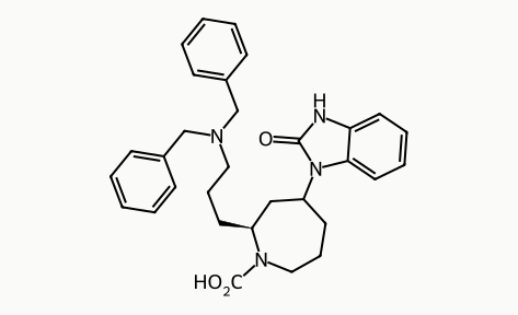 O=C(O)N1CCCC(n2c(=O)[nH]c3ccccc32)C[C@@H]1CCCN(Cc1ccccc1)Cc1ccccc1